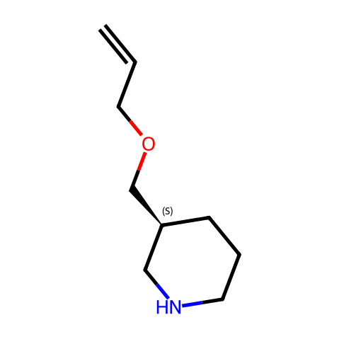 C=CCOC[C@H]1CCCNC1